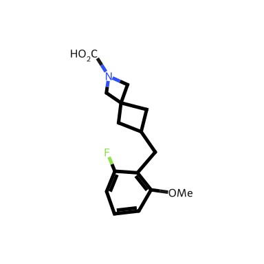 COc1cccc(F)c1CC1CC2(C1)CN(C(=O)O)C2